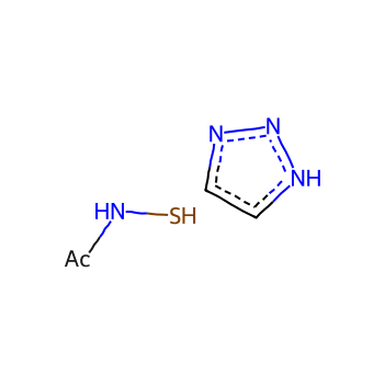 CC(=O)NS.c1c[nH]nn1